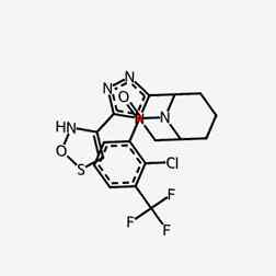 O=C(c1cccc(C(F)(F)F)c1Cl)N1C2CCCC1c1nnc(C3=CSON3)n1C2